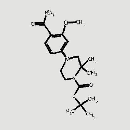 COc1cc(N2CCN(C(=O)OC(C)(C)C)C(C)(C)C2)ccc1C(N)=O